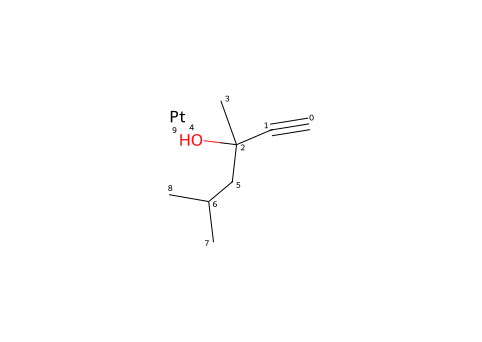 C#CC(C)(O)CC(C)C.[Pt]